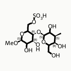 CO[C@H]1OC(COS(=O)(=O)O)[C@H](O[C@@H]2OC(CO)[C@H](O)[C@H](C)C2O)[C@H](O)C1O